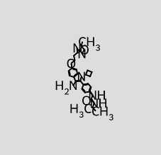 Cc1nc(CCOc2ccc3c(N)c(-c4ccc(NC(=O)NC(C)C)cc4)n(C4CCC4)c3c2)no1